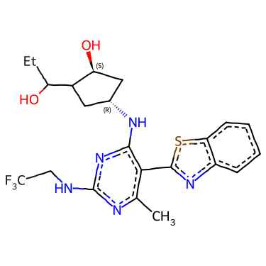 CCC(O)C1C[C@@H](Nc2nc(NCC(F)(F)F)nc(C)c2-c2nc3ccccc3s2)C[C@@H]1O